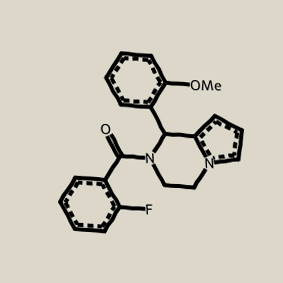 COc1ccccc1C1c2cccn2CCN1C(=O)c1ccccc1F